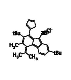 CC(C)=c1c(C)c(C(C)(C)C)c(C2=CC=CC2)c2c1=c1ccc(C(C)(C)C)cc1=[C]2[Zr+2].[Cl-].[Cl-]